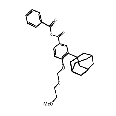 COCCOCOc1ccc(C(=O)OC(=O)c2ccccc2)cc1C12CC3CC(CC(C3)C1)C2